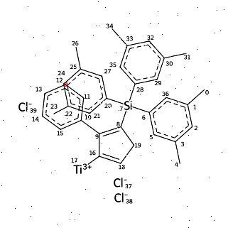 Cc1cc(C)cc([Si](C2=C(c3ccccc3)[C]([Ti+3])=CC2)(c2cc(C)cc(C)c2)c2cc(C)cc(C)c2)c1.[Cl-].[Cl-].[Cl-]